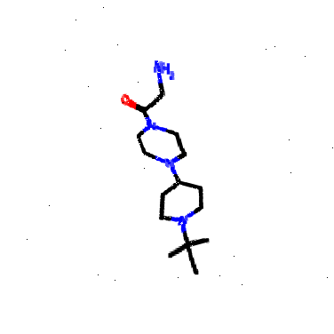 CC(C)(C)N1CCC(N2CCN(C(=O)CN)CC2)CC1